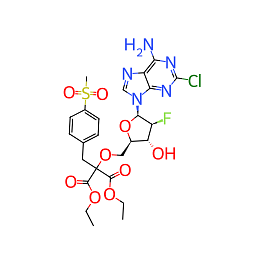 CCOC(=O)C(Cc1ccc(S(C)(=O)=O)cc1)(OC[C@H]1O[C@@H](n2cnc3c(N)nc(Cl)nc32)[C@@H](F)[C@@H]1O)C(=O)OCC